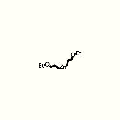 CCOCC[CH2][Zn][CH2]CCOCC